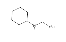 [CH2]C(C)(C)CN(C)C1CCCCC1